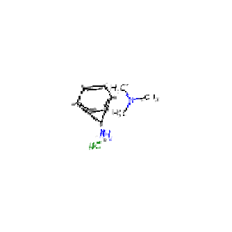 CN(C)C.Cl.N.c1ccc2c(c1)C2